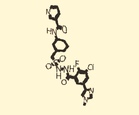 Cn1cnc(-c2cc(Cl)c(F)c(C(=O)NNS(=O)(=O)CC3CCCC(NC(=O)c4cccnc4)C3)c2)c1